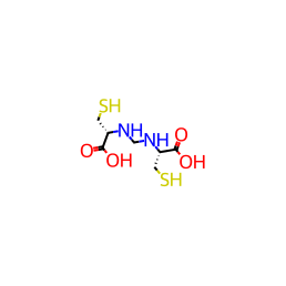 O=C(O)[C@H](CS)NCN[C@@H](CS)C(=O)O